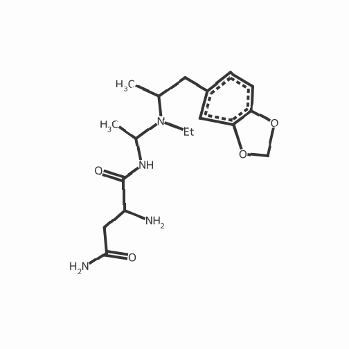 CCN(C(C)Cc1ccc2c(c1)OCO2)C(C)NC(=O)C(N)CC(N)=O